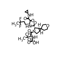 CC(F)(F)CC[C@H](NC(=O)[C@@H]1[C@@H]2[C@H](CN1C(=O)[C@@H](NC(=O)O)C(C)(C)C)C21CCOCC1)C(=O)C(=O)NC1CC1